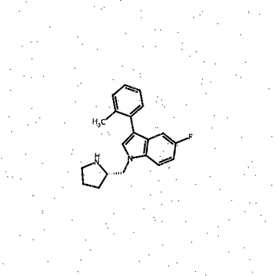 Cc1ccccc1-c1cn(C[C@@H]2CCCN2)c2ccc(F)cc12